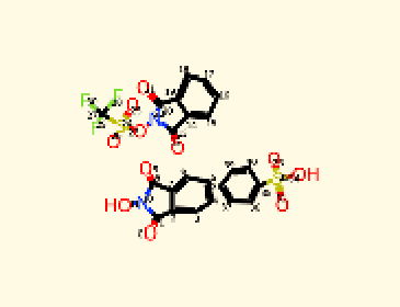 O=C1c2ccccc2C(=O)N1O.O=C1c2ccccc2C(=O)N1OS(=O)(=O)C(F)(F)F.O=S(=O)(O)c1ccccc1